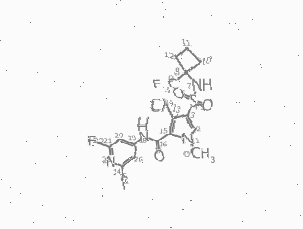 Cn1cc(S(=O)(=O)NC2(C(F)(F)F)CCC2)c(Cl)c1C(=O)Nc1cc(F)nc(F)c1